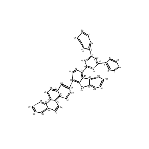 c1ccc(-c2nc(-c3ccccc3)nc(-c3ccc(-c4ccc5c(ccc6c7ccccc7ccc56)c4)c4oc5ccccc5c34)n2)cc1